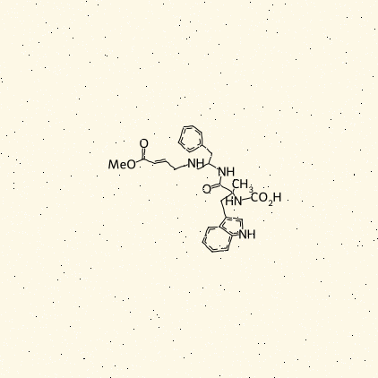 COC(=O)/C=C/CNCC(Cc1ccccc1)NC(=O)C(C)(Cc1c[nH]c2ccccc12)NC(=O)O